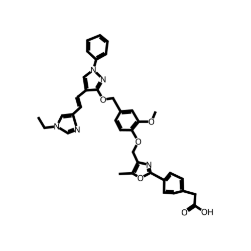 CCn1cnc(/C=C/c2cn(-c3ccccc3)nc2OCc2ccc(OCc3nc(-c4ccc(CC(=O)O)cc4)oc3C)c(OC)c2)c1